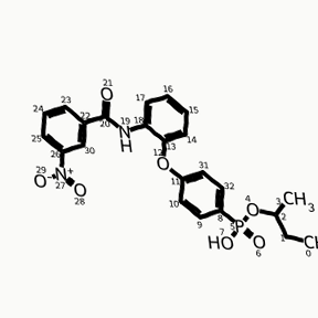 CCC(C)OP(=O)(O)c1ccc(Oc2ccccc2NC(=O)c2cccc([N+](=O)[O-])c2)cc1